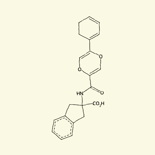 O=C(NC1(C(=O)O)Cc2ccccc2C1)C1=COC(C2=CC=CCC2)=CO1